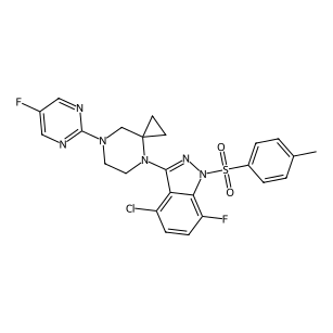 Cc1ccc(S(=O)(=O)n2nc(N3CCN(c4ncc(F)cn4)CC34CC4)c3c(Cl)ccc(F)c32)cc1